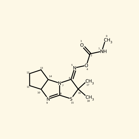 CNC(=O)ON=C1N2C(=NC3CCCC32)SC1(C)C